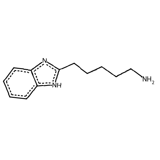 NCCCCCc1nc2ccccc2[nH]1